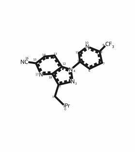 CC(C)Cc1nn(-c2ccc(C(F)(F)F)nc2)c2ccc(C#N)nc12